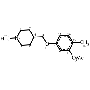 COc1cc(OCC2CCN(C)CC2)ccc1C